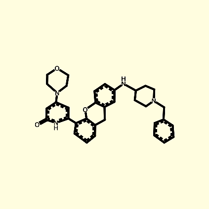 O=c1cc(N2CCOCC2)cc(-c2cccc3c2Oc2ccc(NC4CCN(Cc5ccccc5)CC4)cc2C3)[nH]1